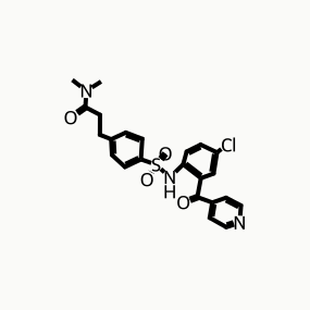 CN(C)C(=O)CCc1ccc(S(=O)(=O)Nc2ccc(Cl)cc2C(=O)c2ccncc2)cc1